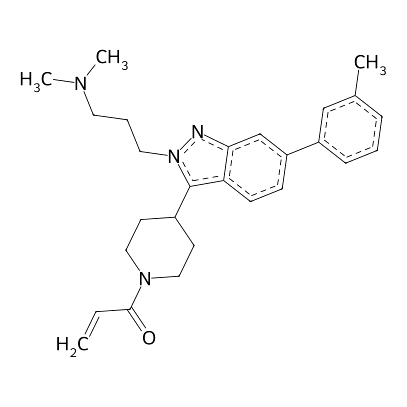 C=CC(=O)N1CCC(c2c3ccc(-c4cccc(C)c4)cc3nn2CCCN(C)C)CC1